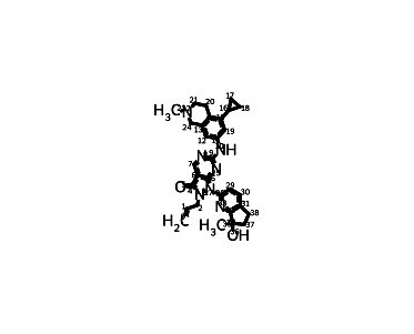 C=CCn1c(=O)c2cnc(Nc3cc4c(c(C5CC5)c3)CCN(C)C4)nc2n1-c1ccc2c(n1)[C@@](C)(O)CC2